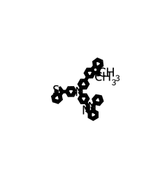 CC1(C)c2ccccc2-c2ccc(-c3ccc(N(c4ccc(-c5csc6ccccc56)cc4)c4ccc(-c5nc6ccccc6n5-c5ccccc5)cc4)cc3)cc21